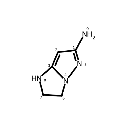 Nc1cc2n(n1)CCN2